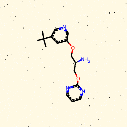 CC(C)(C)c1cncc(OC[C@@H](N)COc2ncccn2)c1